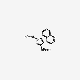 CCCCCc1ccn(CCCCC)c1.c1ccc2ncccc2c1